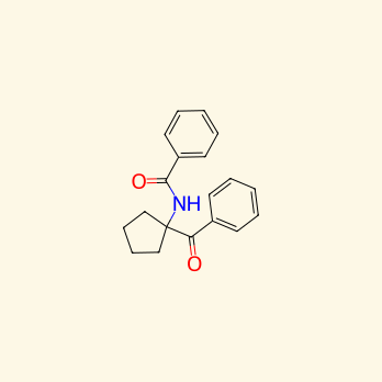 O=C(NC1(C(=O)c2ccccc2)CCCC1)c1ccccc1